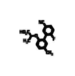 Cc1ccc(O[C@@H](C)C(=O)O)c(-c2cc(C#N)ccc2F)c1